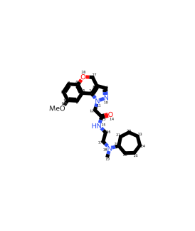 COc1ccc2c(c1)-c1c(cnn1CC(=O)NCCN(C)C1CCCCCC1)CO2